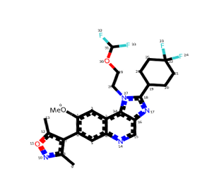 COc1cc2c(cc1-c1c(C)noc1C)ncc1nc(C3CCC(F)(F)CC3)n(CCOC(F)F)c12